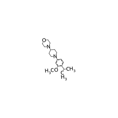 COc1cc(N2CCC(N3CCOCC3)CC2)ccc1C(C)C